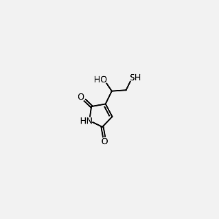 O=C1C=C(C(O)CS)C(=O)N1